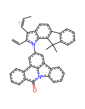 C=Cc1c(/C=C\C)c2ccc3c(c2n1-c1cc2c4ccccc4c(=O)n4c5ccccc5c(c1)c24)C(C)(C)c1ccccc1-3